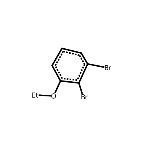 [CH2]COc1cccc(Br)c1Br